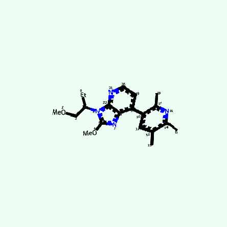 CCC(COC)n1c(OC)nc2c(-c3cc(C)c(C)nc3C)ccnc21